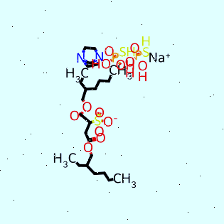 C1CN2CCN1CC2.CCCCC(CC)COC(=O)CC(C(=O)OCC(CC)CCCC)S(=O)(=O)[O-].O=P(O)(O)S.O=P(O)(O)S.[Na+]